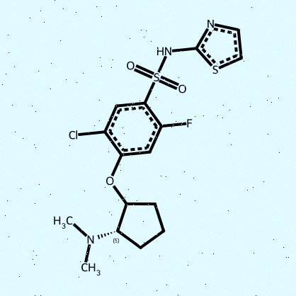 CN(C)[C@H]1CCCC1Oc1cc(F)c(S(=O)(=O)Nc2nccs2)cc1Cl